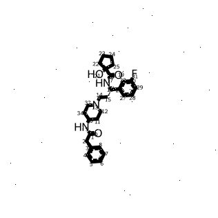 O=C(Cc1ccccc1)NC1CCN(CC[C@H](NC(=O)C2(O)CCCC2)c2cccc(F)c2)CC1